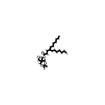 CCCCCCCC(CCCCCCC)CCC(=O)OCC1(CO)COC(C)(C)OC1